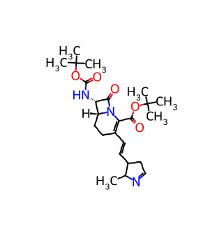 CC1N=CCC1/C=C/C1=C(C(=O)OC(C)(C)C)N2C(=O)[C@@H](NC(=O)OC(C)(C)C)[C@H]2CC1